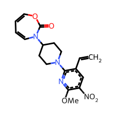 C=Cc1cc([N+](=O)[O-])c(OC)nc1N1CCC(N2C=CC=COC2=O)CC1